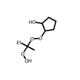 CCC(C)(OO)OOC1CCCC1O